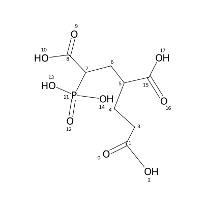 O=C(O)CCC(CC(C(=O)O)P(=O)(O)O)C(=O)O